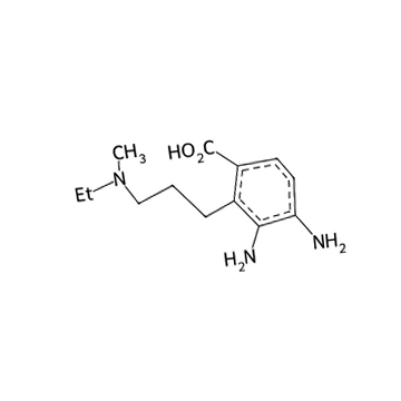 CCN(C)CCCc1c(C(=O)O)ccc(N)c1N